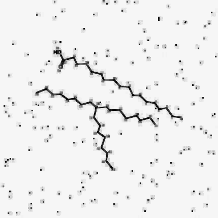 CCCCCCCCCCCCCCCCCC(=O)O.CCCCCCCCP(CCCCCCCC)CCCCCCCC